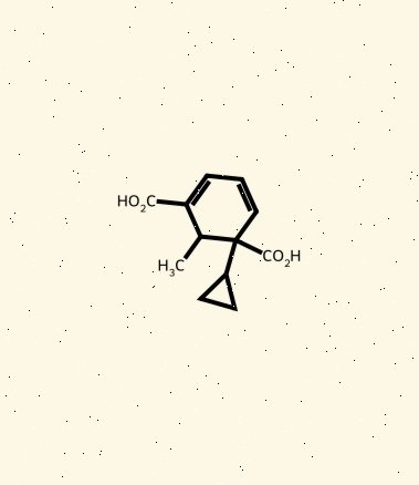 CC1C(C(=O)O)=CC=CC1(C(=O)O)C1CC1